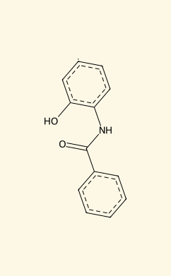 O=C(Nc1cc[c]cc1O)c1ccccc1